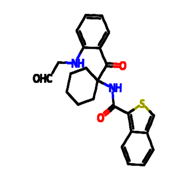 O=CCNc1ccccc1C(=O)C1(NC(=O)c2scc3ccccc23)CCCCC1